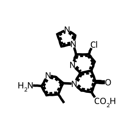 Cc1cc(N)ncc1-n1cc(C(=O)O)c(=O)c2cc(Cl)c(-n3ccnc3)nc21